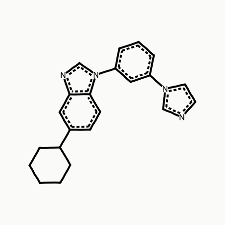 c1cc(-n2ccnc2)cc(-n2cnc3cc(C4CCCCC4)ccc32)c1